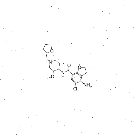 COC1CN(CC2CCCO2)CCC1NC(=O)c1cc(Cl)c(N)c2c1OCC2